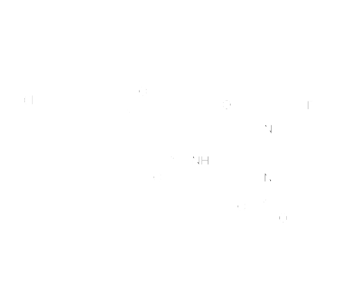 O=C(CCC(=O)c1ccc(Cl)cc1)NCC1CN(c2cccc(F)c2N2CCOCC2)C(=O)O1